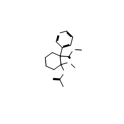 CNC(=S)C1(c2cccnc2)CCCCC1(OC)OC(C)=O